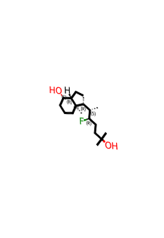 C[C@H]([C@H](F)CCC(C)(C)O)[C@H]1CC[C@H]2[C@@H](O)CCC[C@]12C